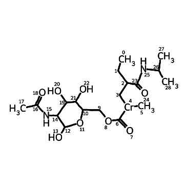 CCC([CH2][Cr]([CH3])[C](=O)OCC1OC(O)C(NC(C)=O)C(O)C1O)C(=O)NC(C)C